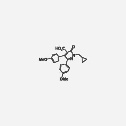 COc1ccc(-c2nn(CC3CC3)c(=O)c(C(=O)O)c2-c2ccc(OC)cc2)cc1